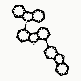 c1ccc2c(c1)sc1cc(-c3cccc4c3sc3cccc(-n5c6ccccc6c6ccccc65)c34)ccc12